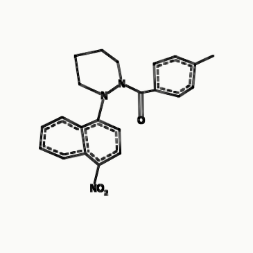 Cc1ccc(C(=O)N2CCCCN2c2ccc([N+](=O)[O-])c3ccccc23)cc1